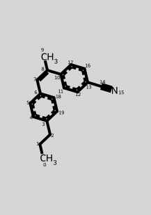 CCCc1ccc(C=C(C)c2ccc(C#N)cc2)cc1